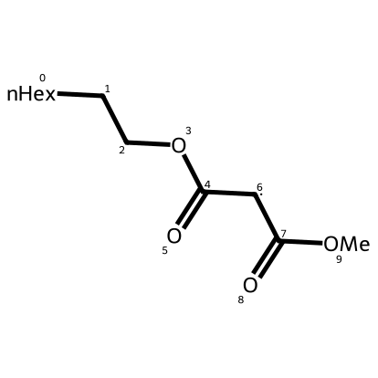 CCCCCCCCOC(=O)[CH]C(=O)OC